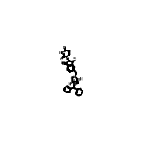 O=C1CCN(N2C(=O)c3ccc(CN4C[C@H]5C[C@@H]4CN5C(c4ccccc4)c4ccccc4)cc3C2=O)C(=O)N1